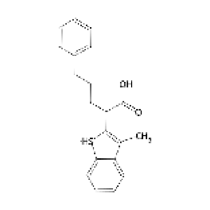 CC1=C(C(CCCc2ccccc2)C(=O)O)[SH]c2ccccc21